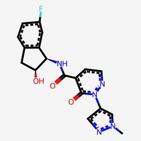 Cn1cc(-n2nccc(C(=O)N[C@@H]3c4cc(F)ccc4C[C@@H]3O)c2=O)cn1